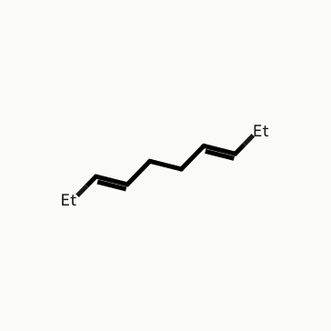 CCC=CCCC=CCC